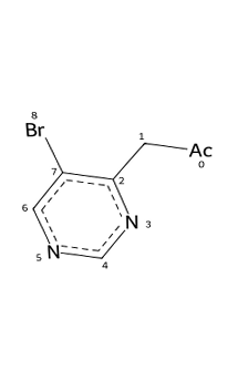 CC(=O)Cc1ncncc1Br